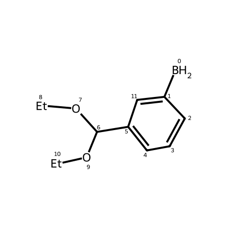 Bc1cccc(C(OCC)OCC)c1